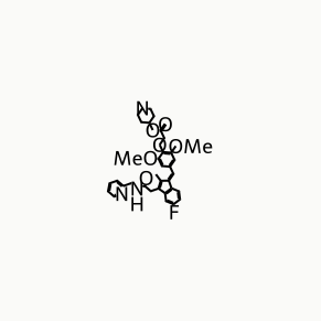 COc1cc(C=C2C(C)=C(CC(=O)NCc3ccccn3)c3cc(F)ccc32)cc(OC)c1OCC(=O)OC1CCN(C)CC1